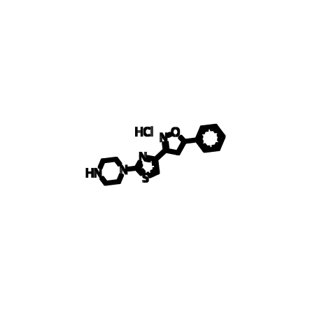 Cl.c1ccc(C2CC(c3csc(N4CCNCC4)n3)=NO2)cc1